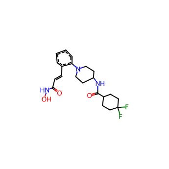 O=C(/C=C/c1ccccc1N1CCC(NC(=O)C2CCC(F)(F)CC2)CC1)NO